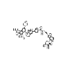 Cc1cc2c(N3CCCc4cc(-c5ccc(C(=O)NCC#Cc6cc7c(C8CCC(=O)NC8=O)nccc7o6)nc5)nnc43)cc(C3CCOCC3)cc2n(C)c1=O